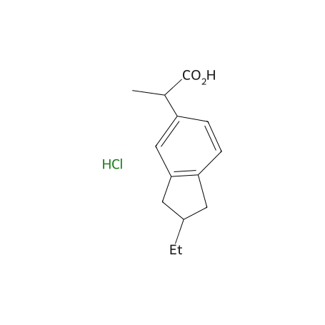 CCC1Cc2ccc(C(C)C(=O)O)cc2C1.Cl